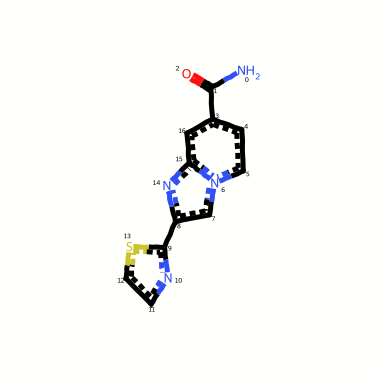 NC(=O)c1ccn2cc(-c3nccs3)nc2c1